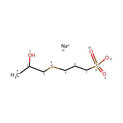 CC(O)CSCCCS(=O)(=O)[O-].[Na+]